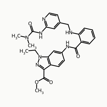 CCn1nc(C(=O)OC)c2ccc(NC(=O)c3ccccc3NCc3ccnc(NC(=O)N(C)C)c3)cc21